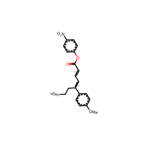 CCCCCCCCCCCC/C(=C\C=C\C(=O)Oc1ccc([N+](=O)[O-])cc1)c1ccc(OC)cc1